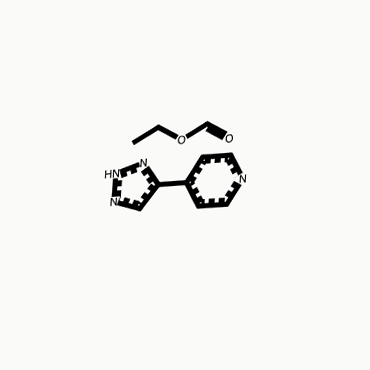 CCOC=O.c1cc(-c2cn[nH]n2)ccn1